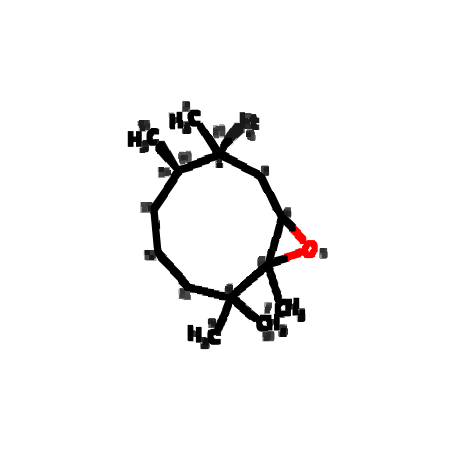 CC[C@@]1(C)CC2OC2(C)C(C)(C)CCC[C@H]1C